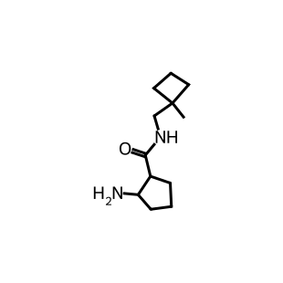 CC1(CNC(=O)C2CCCC2N)CCC1